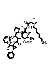 CC[C@H](C)[C@@H]([C@@H](CC(=O)N1CCC[C@H]1[C@H](OC)[C@@H](C)C(=O)N[C@@]1(C(=O)N2CCCOC2)C[C@@H]1c1ccccc1)OC)N(C)C(=O)[C@@H](NC(=O)[C@H](C(C)C)N(C)CCCCCCN)C(C)C